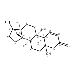 C[C@]12CC[C@@H]3[C@@H](CCC4(O)CC(=O)C=C[C@]34C)[C@@H]1CCC2O